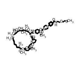 COCCOCCNC(=O)c1ccc(N2CCN(C(=O)O[C@@H]3CC[C@@H](C[C@@H](N)[C@@H]4CC(=O)[C@H](C)/C=C(\C)[C@@H](O)[C@@H](O)C(=O)[C@H](C)C[C@H](C)/C=C/C=C/C=C(\C)[C@@H](OC)C[C@@H]5CC[C@@H](C)[C@@](O)(O5)C(=O)C(=O)N5CCCC[C@H]5C(=O)O4)C[C@H]3OC)CC2)cc1